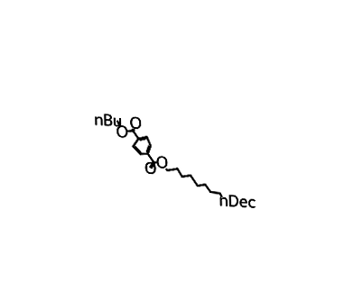 CCCCCCCCCCCCCCCCCCOC(=O)c1ccc(C(=O)OCCCC)cc1